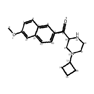 COc1ccc2cc(C(=O)C3CN(C4CCC4)CCN3)ccc2c1